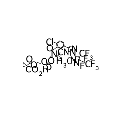 Cn1nc(C(F)(F)C(F)(F)F)c(C(F)(F)F)c1-n1cc(-c2ccc(Cl)c(C(=O)N(COC(=O)OCCOC(=O)C3(C(=O)O)CC3)C3(C#N)CC3)c2)cn1